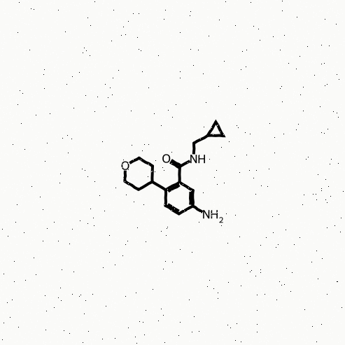 Nc1ccc(C2CCOCC2)c(C(=O)NCC2CC2)c1